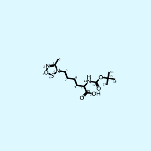 CC1=NOSN1CCCCC(NC(=O)OC(C)(C)C)C(=O)O